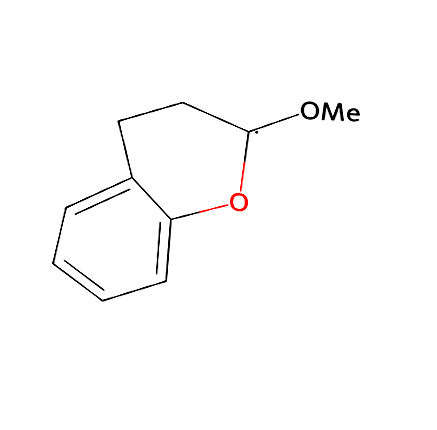 CO[C]1CCc2ccccc2O1